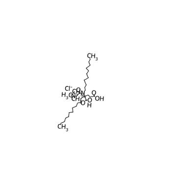 CCCCCCCCCCCCN(C(=O)C[N+](C)(C)C)[C@](CCCCCCCCCCCC)(CCC(=O)O)C(=O)O.[Cl-]